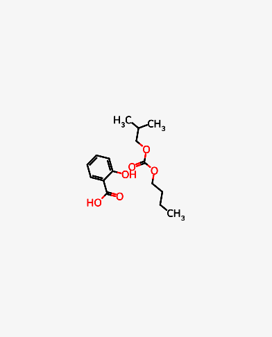 CCCCOC(=O)OCC(C)C.O=C(O)c1ccccc1O